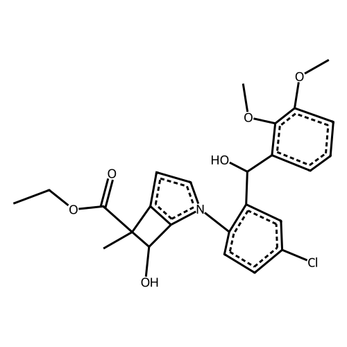 CCOC(=O)C1(C)c2ccn(-c3ccc(Cl)cc3C(O)c3cccc(OC)c3OC)c2C1O